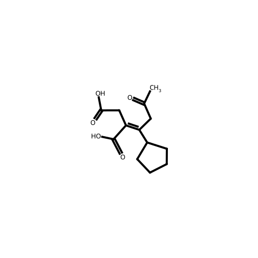 CC(=O)CC(=C(CC(=O)O)C(=O)O)C1CCCC1